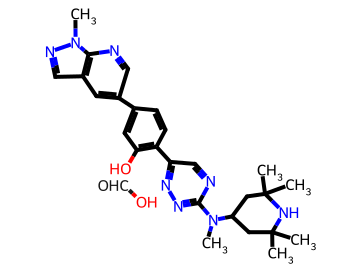 CN(c1ncc(-c2ccc(-c3cnc4c(cnn4C)c3)cc2O)nn1)C1CC(C)(C)NC(C)(C)C1.O=CO